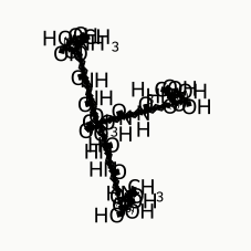 CC(=O)NC1C(O)[C@H](O)C(CO)O[C@@H]1OCCCCC(=O)NCCCNC(=O)CCOCC(COCCC(=O)NCCCNC(=O)CCCCO[C@H]1OC(CO)[C@@H](O)C(O)C1NC(C)=O)(COCCC(=O)NCCCNC(=O)CCCCO[C@@H]1OC(CO)[C@H](O)C(O)C1NC(C)=O)NC(C)=O